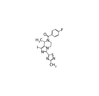 Cc1nsc(-c2nc(I)c3n2CCN(C(=O)c2ccc(F)cc2)C3C)n1